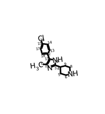 Cc1nc(C2CCNCC2)[nH]c1-c1ccc(Cl)cc1